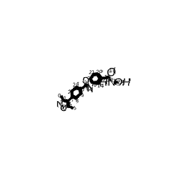 Cc1noc(C)c1-c1ccc(-c2nc3cc(C(=O)NO)ccc3o2)cc1